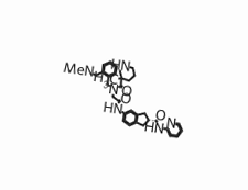 CNCc1ccccc1CN(CC(=O)Nc1ccc2c(c1)C[C@H](C(=O)Nc1ccccn1)C2)C(=O)C1(C)CCCNC1